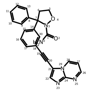 NC(=O)N1OCCC1(c1ccccc1)c1cccc(C#Cc2cnc3ncccn23)c1